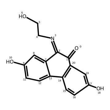 O=C1/C(=N/CCO)c2cc(O)ccc2-c2ccc(O)cc21